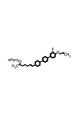 C=CCOc1ccc(-c2ccc(-c3ccc(C=CCCCC(C)OCCCCC)cc3)cc2)cc1F